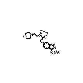 CNc1noc2cc(OC(=O)N(C)CCN3CCOCC3)ccc12